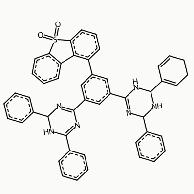 O=S1(=O)c2ccccc2-c2c(-c3cc(C4=NC(c5ccccc5)NC(c5ccccc5)=N4)cc(C4=NC(c5ccccc5)NC(C5=CCCC=C5)N4)c3)cccc21